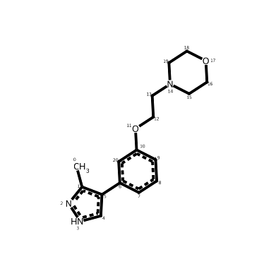 Cc1n[nH]cc1-c1cc[c]c(OCCN2CCOCC2)c1